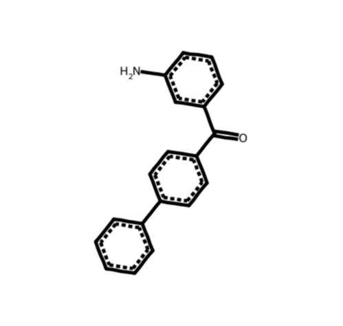 Nc1cccc(C(=O)c2ccc(-c3ccccc3)cc2)c1